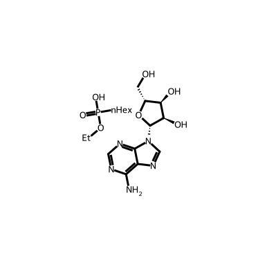 CCCCCCP(=O)(O)OCC.Nc1ncnc2c1ncn2[C@@H]1O[C@H](CO)[C@@H](O)[C@H]1O